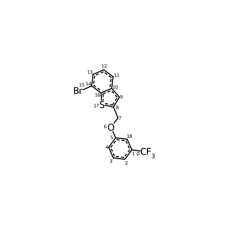 FC(F)(F)c1cccc(OCc2cc3cccc(Br)c3s2)c1